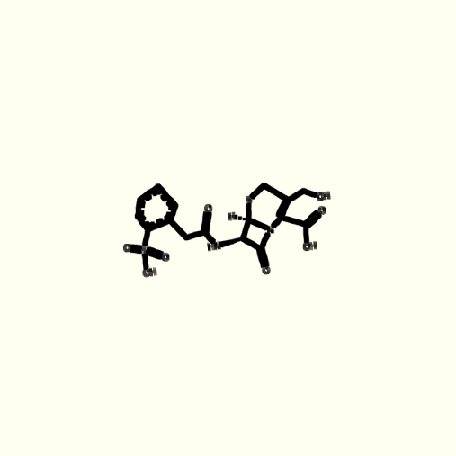 O=C(Cc1ccccc1S(=O)(=O)O)N[C@@H]1C(=O)N2C(C(=O)O)=C(CO)CS[C@H]12